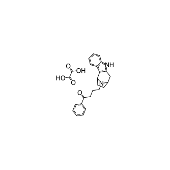 O=C(CCCN1C2CCC1c1c([nH]c3ccccc13)C2)c1ccccc1.O=C(O)C(=O)O